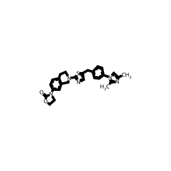 Cc1cn(-c2ccc(Cc3cnc(N4CCc5ccc(N6CCOC6=O)cc5C4)s3)cc2)c(C)n1